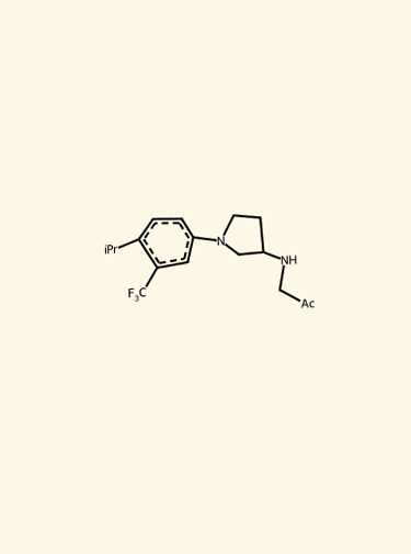 CC(=O)CNC1CCN(c2ccc(C(C)C)c(C(F)(F)F)c2)C1